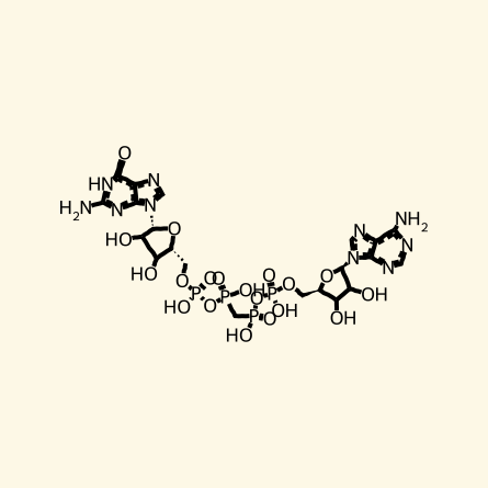 Nc1nc2c(ncn2[C@@H]2O[C@H](COP(=O)(O)OP(=O)(O)CP(=O)(O)OP(=O)(O)OC[C@H]3O[C@@H](n4cnc5c(N)ncnc54)C(O)C3O)C(O)C2O)c(=O)[nH]1